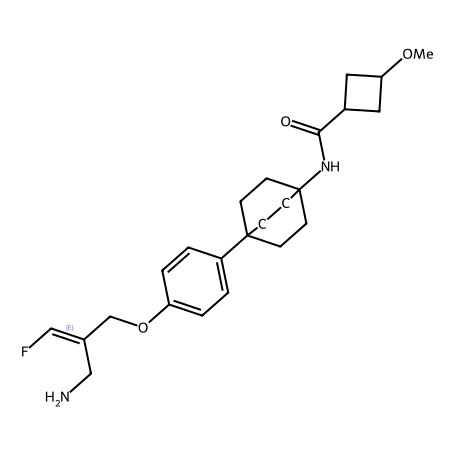 COC1CC(C(=O)NC23CCC(c4ccc(OC/C(=C/F)CN)cc4)(CC2)CC3)C1